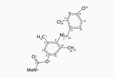 CNC(=O)Oc1cc(C)c(/N=C/c2ccc(Cl)cc2Cl)c(C)c1